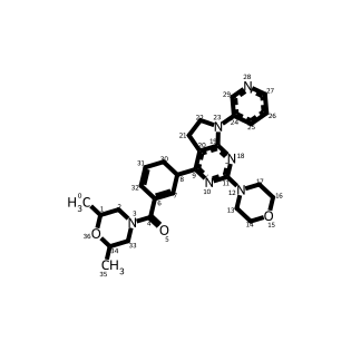 CC1CN(C(=O)C2=CC(c3nc(N4CCOCC4)nc4c3CCN4c3cccnc3)CC=C2)CC(C)O1